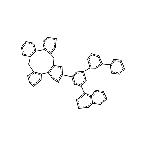 c1cncc(-c2cccc(-c3cc(-c4ccc5c(c4)Cc4ccccc4-c4ccccc4Cc4ccccc4-5)nc(-c4cccc5ccccc45)n3)c2)c1